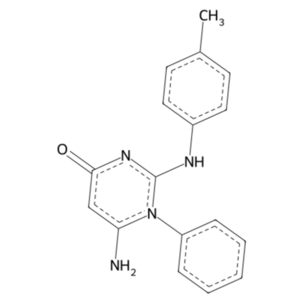 Cc1ccc(Nc2nc(=O)cc(N)n2-c2ccccc2)cc1